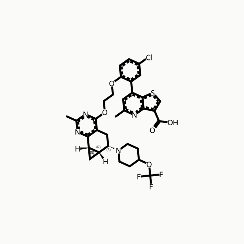 Cc1cc(-c2cc(Cl)ccc2OCCOc2nc(C)nc3c2C[C@H](N2CCC(OC(F)(F)F)CC2)[C@@H]2C[C@H]32)c2scc(C(=O)O)c2n1